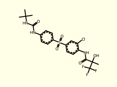 CC(C)(C)NC(=O)Nc1ccc(S(=O)(=O)c2ccc(NC(=O)C(C)(O)C(F)(F)F)c(Cl)c2)cc1